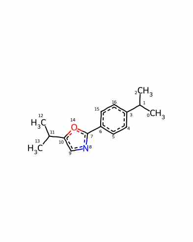 CC(C)c1ccc(-c2ncc(C(C)C)o2)cc1